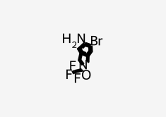 Nc1cc2c(cc1Br)CN(C(=O)C(F)(F)F)C2